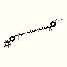 Cc1nnc(-c2ccc(CNC(=O)CCOCCOCCOCCOCCC(=O)c3ccc(C=O)cc3)cc2)nn1